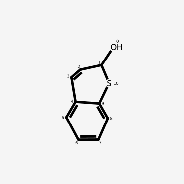 OC1C=Cc2ccccc2S1